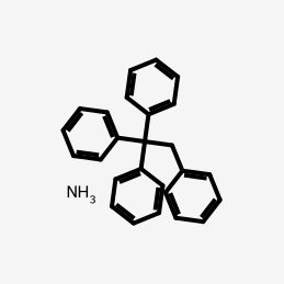 N.c1ccc(CC(c2ccccc2)(c2ccccc2)c2ccccc2)cc1